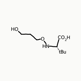 CC(C)(C)[C@H](NOCCCO)C(=O)O